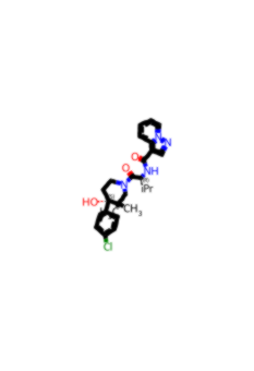 CC(C)[C@@H](NC(=O)c1cnn2ccccc12)C(=O)N1CC[C@](O)(c2ccc(Cl)cc2)C(C)(C)C1